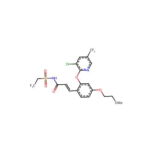 COCCOc1ccc(C=CC(=O)NS(=O)(=O)CC(F)(F)F)c(Oc2ncc(C(F)(F)F)cc2Cl)c1